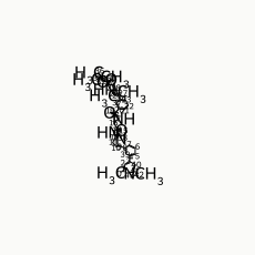 Cc1cc(-c2cccc(C3=CCC(NC(=O)CNC(=O)c4cccc(C(C)(C)CNC(=O)OC(C)(C)C)c4)=N3)c2)cc(C)n1